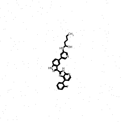 CCCCC(O)Nc1cncc(-c2ccc3[nH]nc(-c4nc5c(-c6ccccc6F)ccnc5[nH]4)c3c2)c1